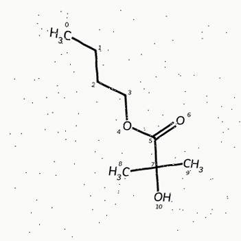 CCCCOC(=O)C(C)(C)O